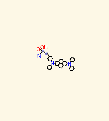 N#C/C(=C\C=C\C1=CCC(N(c2ccccc2)c2cc3c4c(ccc5cc(N(c6ccccc6)c6ccccc6)cc(c54)CC3)c2)C=C1)C(=O)O